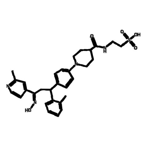 Cc1cc(/C(CC(c2ccc(N3CCC(C(=O)NCCS(=O)(=O)O)CC3)cc2)c2ccccc2C)=N\O)ccn1